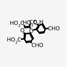 O=Cc1ccc(OC(C(=O)O)=C(Oc2ccc(C=O)cc2C(=O)O)C(=O)O)c(C(=O)O)c1